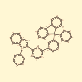 c1ccc(-n2c(-c3ncnc(-c4cccc(C5(c6ccccc6)c6ccccc6-c6ccccc65)c4)n3)nc3ccccc32)cc1